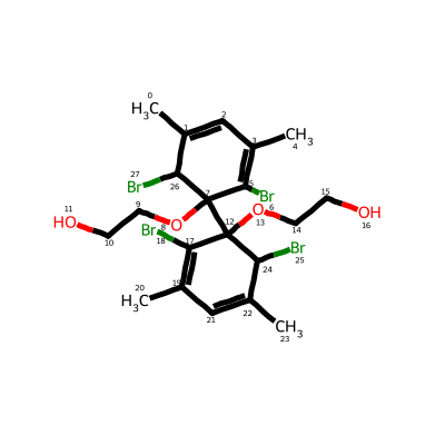 CC1=CC(C)=C(Br)C(OCCO)(C2(OCCO)C(Br)=C(C)C=C(C)C2Br)C1Br